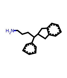 NCCCC(c1ccccc1)C1Cc2ccccc2C1